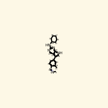 C/N=N\c1ccc(-c2c[nH]c3nc(NC4CCCCC4)ncc23)cc1C